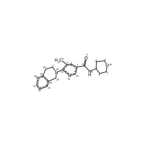 Cc1cc(C(=O)NC2CCOCC2)cnc1N1CCc2ncccc2C1